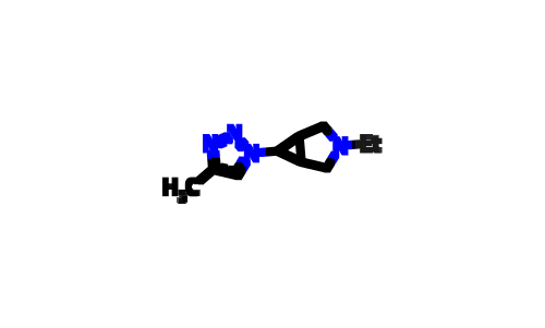 CCN1CC2C(C1)C2n1cc(C)nn1